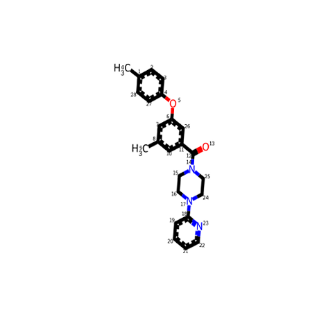 Cc1ccc(Oc2cc(C)cc(C(=O)N3CCN(c4ccccn4)CC3)c2)cc1